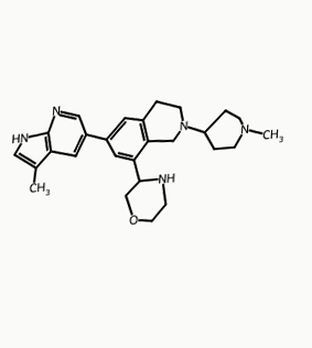 Cc1c[nH]c2ncc(-c3cc4c(c(C5COCCN5)c3)CN(C3CCN(C)CC3)CC4)cc12